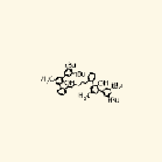 Cc1cc(-c2cc(C(C)(C)C)cc(C(C)(C)C)c2)c(O)c(-c2ccccc2CCCCCCc2ccccc2-c2cc(C)cc(-c3cc(C(C)(C)C)cc(C(C)(C)C)c3)c2O)c1